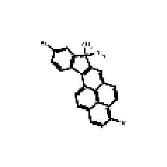 CC1(C)c2cc(Br)ccc2-c2c1cc1ccc3c(Br)ccc4ccc2c1c43